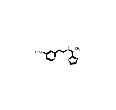 C[C@@H](NCCc1cc(C(=O)O)ccn1)c1nccs1